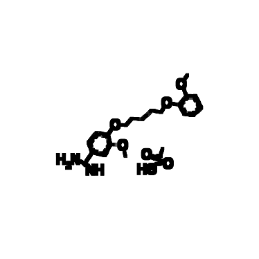 COc1ccccc1OCCCCCOc1ccc(C(=N)N)cc1OC.CS(=O)(=O)O